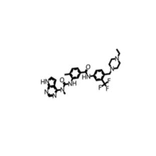 CCN1CCN(Cc2ccc(NC(=O)c3ccc(C)c(NC(=O)N(C)c4ncnc5[nH]ccc45)c3)cc2C(F)(F)F)CC1